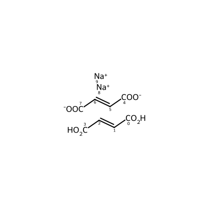 O=C(O)C=CC(=O)O.O=C([O-])C=CC(=O)[O-].[Na+].[Na+]